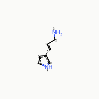 C=CCN.c1cc[nH]c1